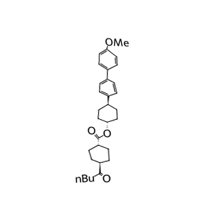 CCCCC(=O)[C@H]1CC[C@H](C(=O)O[C@H]2CC[C@H](c3ccc(-c4ccc(OC)cc4)cc3)CC2)CC1